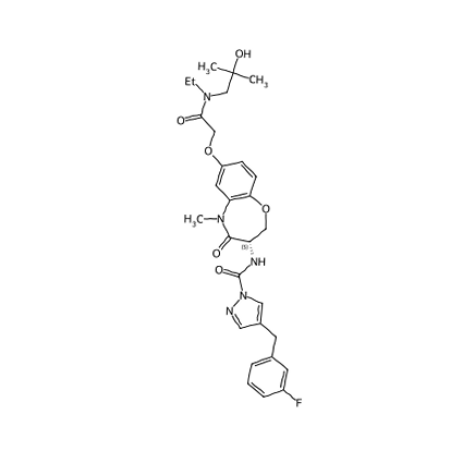 CCN(CC(C)(C)O)C(=O)COc1ccc2c(c1)N(C)C(=O)[C@@H](NC(=O)n1cc(Cc3cccc(F)c3)cn1)CO2